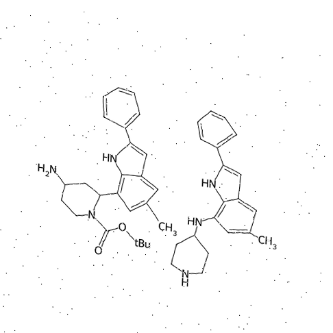 Cc1cc(C2CC(N)CCN2C(=O)OC(C)(C)C)c2[nH]c(-c3ccccc3)cc2c1.Cc1cc(NC2CCNCC2)c2[nH]c(-c3ccccc3)cc2c1